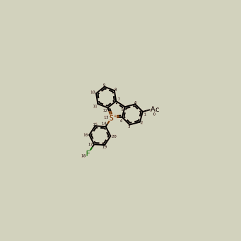 CC(=O)c1ccc2c(c1)c1ccccc1[s+]2-c1ccc(F)cc1